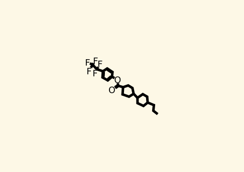 CCCC1CCC(C2CCC(C(=O)Oc3ccc(C(F)(F)C(F)(F)F)cc3)CC2)CC1